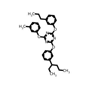 CCCc1cccc(Oc2nc(Oc3cccc(C)c3)nc(Oc3cccc(C(CC)CCC)c3)n2)c1